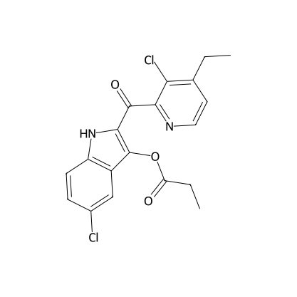 CCC(=O)Oc1c(C(=O)c2nccc(CC)c2Cl)[nH]c2ccc(Cl)cc12